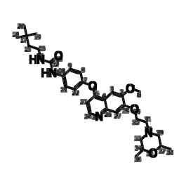 COc1cc2c(Oc3ccc(NC(=O)NCCC(C)(C)C)cc3)ccnc2cc1OCCN1CC(C)OC(C)C1